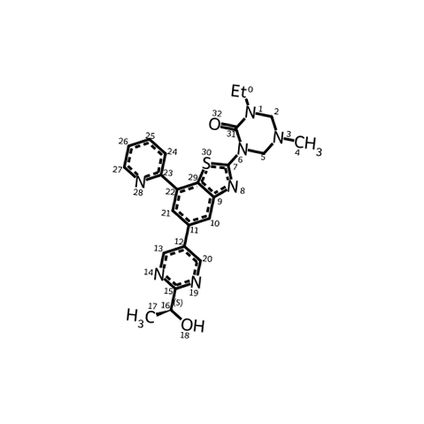 CCN1CN(C)CN(c2nc3cc(-c4cnc([C@H](C)O)nc4)cc(-c4ccccn4)c3s2)C1=O